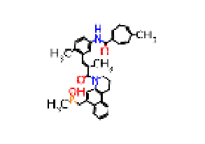 CC1=CCC=C(C(=O)Nc2ccc(C)c(/C=C(\C)C(=O)N3CCCc4c3cc(CP(C)O)c3ccccc43)c2)C=C1